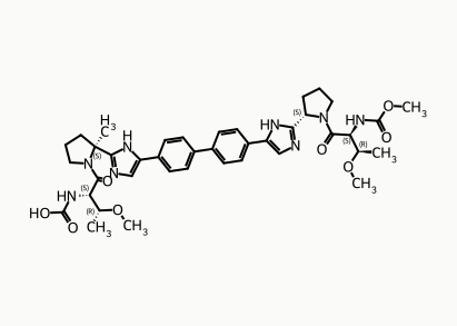 COC(=O)N[C@H](C(=O)N1CCC[C@H]1c1ncc(-c2ccc(-c3ccc(-c4cnc([C@]5(C)CCCN5C(=O)[C@@H](NC(=O)O)[C@@H](C)OC)[nH]4)cc3)cc2)[nH]1)[C@@H](C)OC